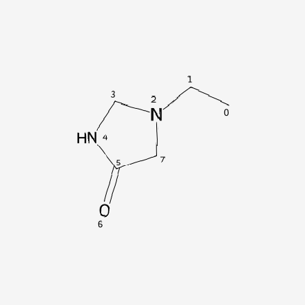 CCN1CNC(=O)C1